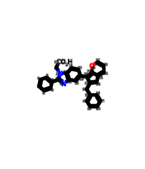 O=C(O)Cn1c(-c2ccccc2)nc2cc(-c3c(Cc4ccccc4)cc4cccoc3-4)ccc21